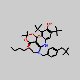 CCCCCCN(Cc1ccc(CC(C)(C)C)cc1)C(Nc1cc(C(C)(C)C)c(O)c(C(C)(C)C)c1)=C1C(=O)OC(C)(C)OC1=O